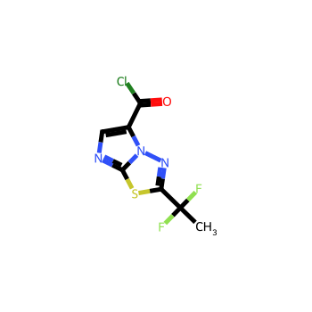 CC(F)(F)c1nn2c(C(=O)Cl)cnc2s1